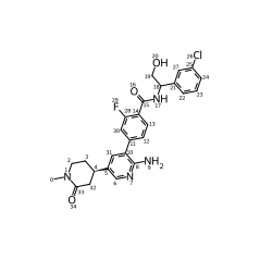 CN1CC[C@@H](c2cnc(N)c(-c3ccc(C(=O)NC(CO)c4cccc(Cl)c4)c(F)c3)c2)CC1=O